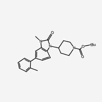 Cc1ccccc1-c1ccc2c(c1)n(C)c(=O)n2C1CCN(C(=O)OC(C)(C)C)CC1